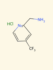 Cl.NCc1cc(C(F)(F)F)ccn1